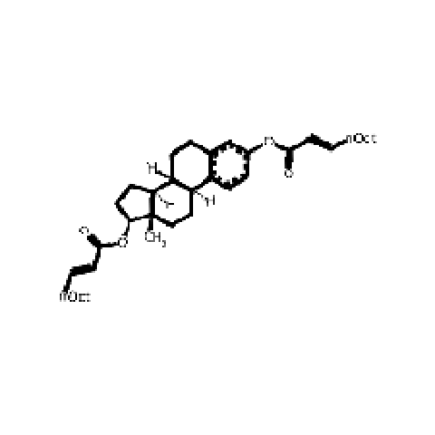 CCCCCCCCC=CC(=O)Oc1ccc2c(c1)CC[C@@H]1[C@@H]2CC[C@]2(C)[C@@H](OC(=O)C=CCCCCCCCC)CC[C@@H]12